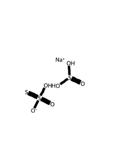 O=S(O)O.O=S([O-])(O)=S.[Na+]